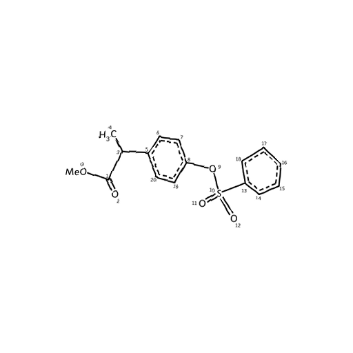 COC(=O)C(C)c1ccc(OS(=O)(=O)c2ccccc2)cc1